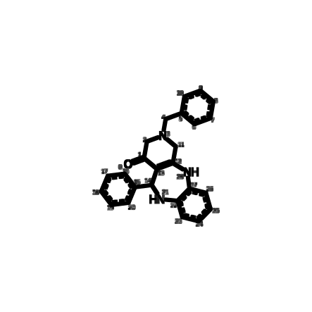 O=C1CN(Cc2ccccc2)CC2=C1C(c1ccccc1)Nc1ccccc1N2